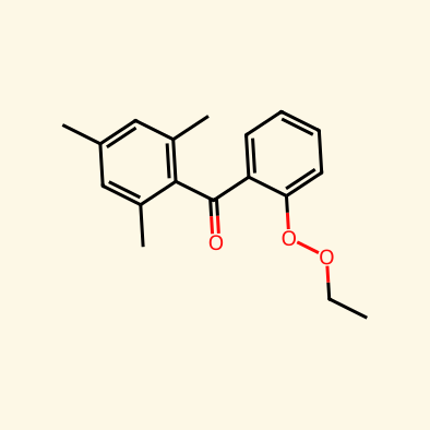 CCOOc1ccccc1C(=O)c1c(C)cc(C)cc1C